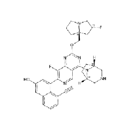 C#Cc1cccc2cc(O)cc(-c3ncc4c(N5[C@@H]6CC[C@H]5CNC6)nc(OC[C@@]56CCCN5C[C@H](F)C6)nc4c3F)c12